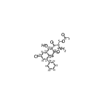 CC(=O)OCC(N)C(=O)c1c(O)c2cc(Cl)cc(-c3ccccc3)c2sc1=O